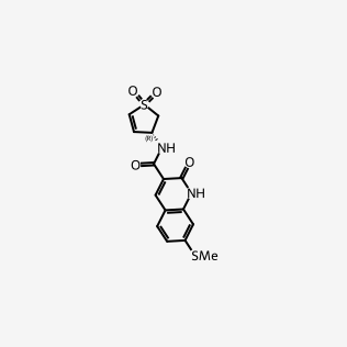 CSc1ccc2cc(C(=O)N[C@@H]3C=CS(=O)(=O)C3)c(=O)[nH]c2c1